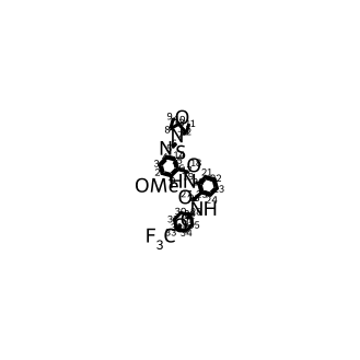 COc1ccc2nc(N3C4COCC3C4)sc2c1C(=O)Nc1ccccc1C(=O)NC12CCC(C(F)(F)F)(CC1)OC2